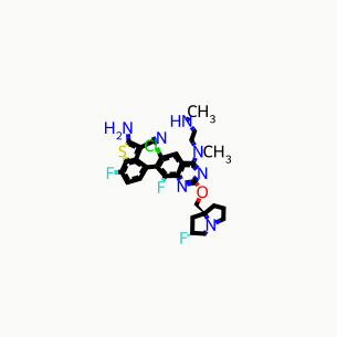 CNCCN(C)c1nc(OC[C@@]23CCCN2C[C@H](F)C3)nc2c(F)c(-c3ccc(F)c4sc(N)c(C#N)c34)c(Cl)cc12